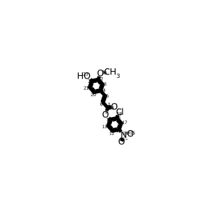 COc1cc(C=CC(=O)Oc2ccc([N+](=O)[O-])cc2Cl)ccc1O